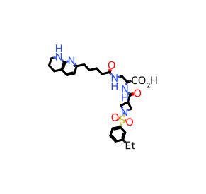 CCc1cccc(S(=O)(=O)N2CC(C(=O)NC(CNC(=O)CCCCc3ccc4c(n3)NCCC4)C(=O)O)C2)c1